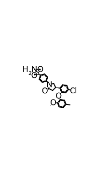 COc1ccc(C)cc1Oc1cc(Cl)ccc1[C@H]1CC(=O)N(c2ccc(S(N)(=O)=O)cc2)C1